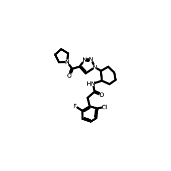 O=C(Cc1c(F)cccc1Cl)NC1CCCCC1n1cc(C(=O)N2CCCC2)nn1